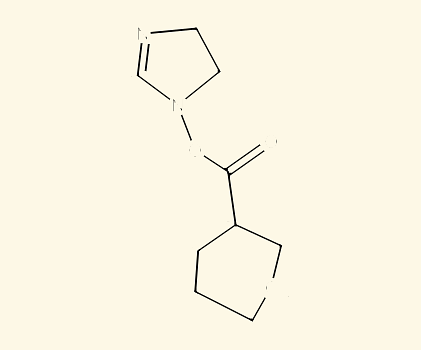 O=C(ON1C=NCC1)C1CCCCC1